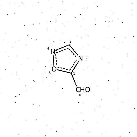 O=Cc1ncno1